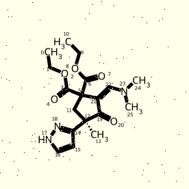 CCOC(=O)C1(C(=O)OCC)C[C@](C)(c2cc[nH]n2)C(=O)C1=CN(C)C